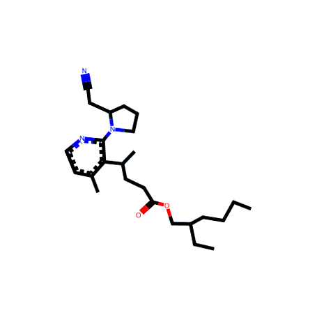 CCCCC(CC)COC(=O)CCC(C)c1c(C)ccnc1N1CCCC1CC#N